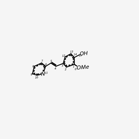 COc1cc(C=Cc2ccccn2)ccc1O